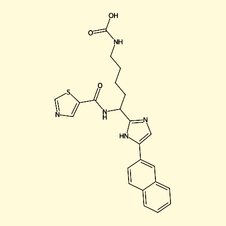 O=C(O)NCCCCC(NC(=O)c1cncs1)c1ncc(-c2ccc3ccccc3c2)[nH]1